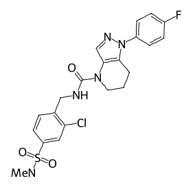 CNS(=O)(=O)c1ccc(CNC(=O)N2CCCc3c2cnn3-c2ccc(F)cc2)c(Cl)c1